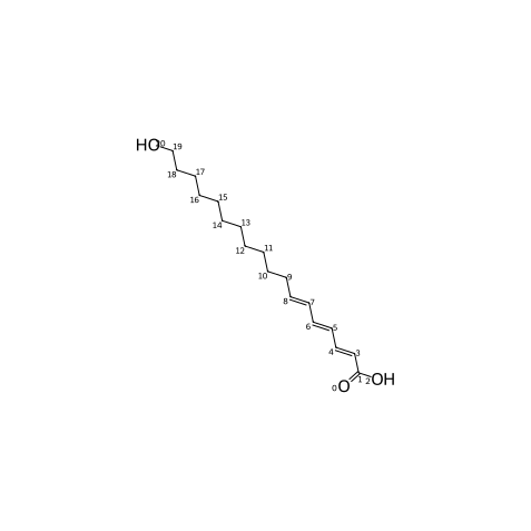 O=C(O)C=CC=CC=CCCCCCCCCCCCO